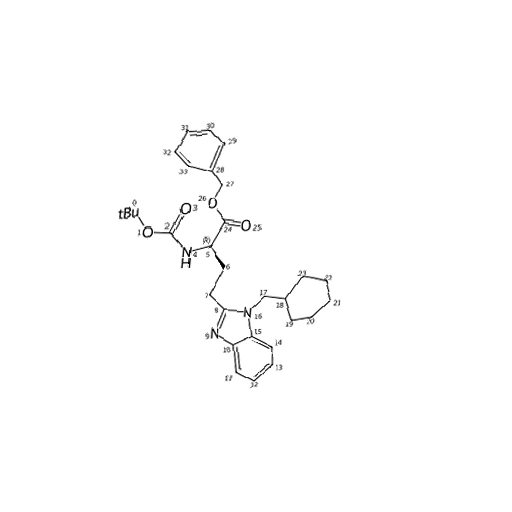 CC(C)(C)OC(=O)N[C@H](CCc1nc2ccccc2n1CC1CCCCC1)C(=O)OCc1ccccc1